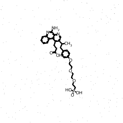 CC(Cc1ccc(OCCOCCOCCP(=O)(O)O)cc1)c1cnc2c(N)nc3ccccc3c2c1CCC(=O)O